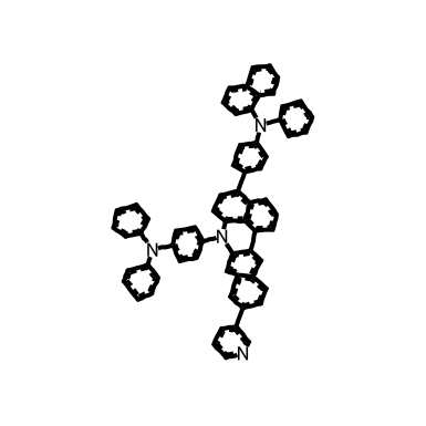 c1ccc(N(c2ccccc2)c2ccc(N3c4cc5cc(-c6cccnc6)ccc5cc4-c4cccc5c(-c6ccc(N(c7ccccc7)c7cccc8ccccc78)cc6)ccc3c45)cc2)cc1